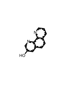 Oc1cnc2c(ccc3cccnc32)c1